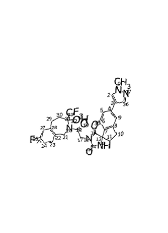 Cn1cc(-c2ccc3c(c2)CCC32NC(=O)N(CC(=O)N3Cc4ccc(F)cc4CCC3(O)C(F)(F)F)C2=O)cn1